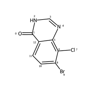 O=c1[nH]cnc2c(Cl)c(Br)ccc12